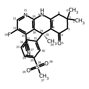 CC1(C)CC(=O)C2=C(C1)Nc1ncc(F)c(C#N)c1[C@]2(C)c1cccc(S(C)(=O)=O)c1